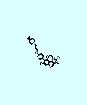 Cn1c(=O)n2c3c4c(c(-c5ccc(OCCCN6CCC7(CC6)CC7)nc5)c(F)cc4ncc31)OCC2